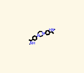 C=C(NC)c1ccc(N2CCCN(c3ccc(C(=C)NC)cc3)CC2)cc1